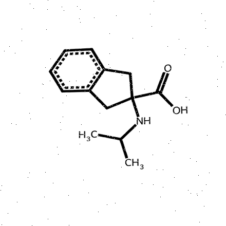 CC(C)NC1(C(=O)O)Cc2ccccc2C1